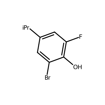 CC(C)c1cc(F)c(O)c(Br)c1